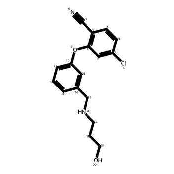 N#Cc1ccc(Cl)cc1Oc1cccc(CNCCCO)c1